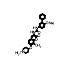 COc1ccc(NC(=O)Nc2cc3ccc(OC4CCN(C)CC4)c(C)c3oc2=O)cc1-c1ccccc1